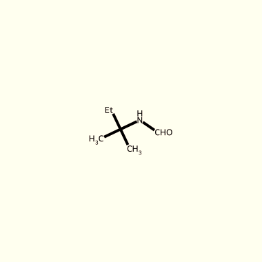 CCC(C)(C)NC=O